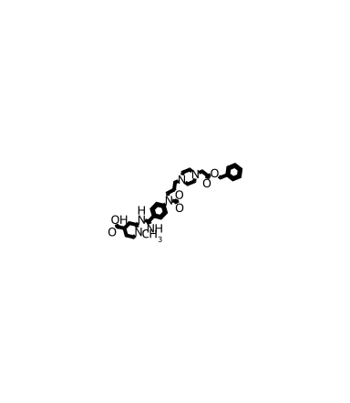 CN1CCC(C(=O)O)CC1NC(=N)c1ccc(N2CC(CN3CCN(CC(=O)OCc4ccccc4)CC3)OC2=O)cc1